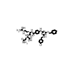 N=C(N)NCCC[C@H](NC(=O)c1ccc(Nc2nc(NCc3ccc(Cl)cc3)nc(OCc3ccccc3)n2)cc1)C(=O)N[C@@H](CCC(N)=O)C(=O)O